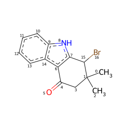 CC1(C)CC(=O)c2c([nH]c3ccccc23)C1Br